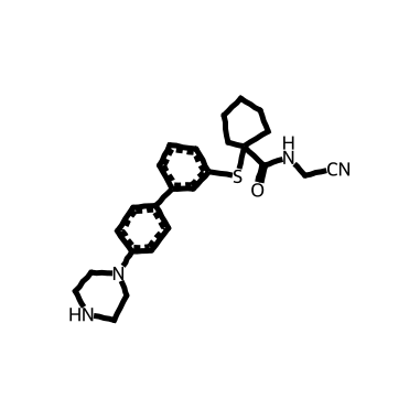 N#CCNC(=O)C1(Sc2cccc(-c3ccc(N4CCNCC4)cc3)c2)CCCCC1